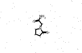 NC(=S)CN1CCCC1=S